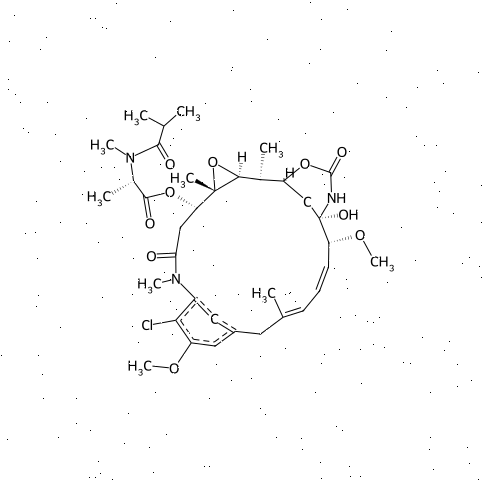 COc1cc2cc(c1Cl)N(C)C(=O)C[C@H](OC(=O)[C@H](C)N(C)C(=O)C(C)C)[C@]1(C)O[C@H]1[C@H](C)[C@@H]1C[C@@](O)(NC(=O)O1)[C@H](OC)/C=C/C=C(\C)C2